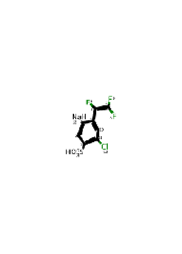 O=S(=O)(O)c1ccc(C(F)=C(F)F)cc1Cl.[NaH]